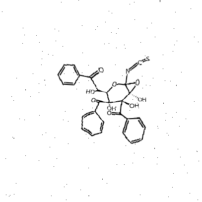 O=C(c1ccccc1)C(O)[C@H]1OC2(N=C=S)O[C@@]2(O)[C@](O)(C(=O)c2ccccc2)[C@@]1(O)C(=O)c1ccccc1